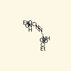 CCc1ccc(S(=O)(=O)NCCCCN2CCN(c3cccc(NS(=O)(=O)CC)c3)CC2)cc1